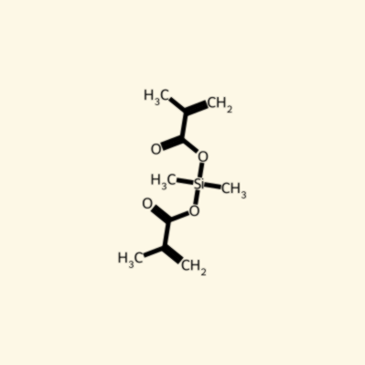 C=C(C)C(=O)O[Si](C)(C)OC(=O)C(=C)C